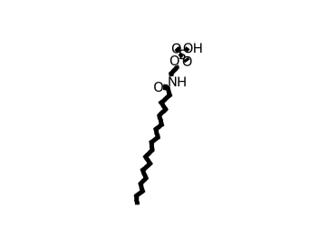 CCCCCCCCCCCCCCCCCC(=O)NCCOS(=O)(=O)O